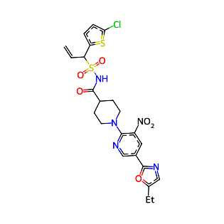 C=CC(c1ccc(Cl)s1)S(=O)(=O)NC(=O)C1CCN(c2ncc(-c3ncc(CC)o3)cc2[N+](=O)[O-])CC1